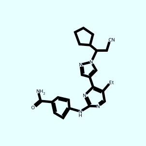 CCc1cnc(Nc2ccc(C(N)=O)cc2)nc1-c1cnn(C(CC#N)C2CCCC2)c1